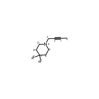 CC#CCN1CCC(F)(F)CC1